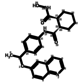 CC(Oc1ccc2ncccc2c1)c1ccc(NC(=O)[C@H]2CCCC[C@@H]2C(=O)NO)cc1